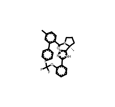 Cc1ccc(C(=O)N2CCC[C@@]2(C)c2nnc(-c3ccccc3OC(F)(F)F)[nH]2)c(-c2ccccc2)c1